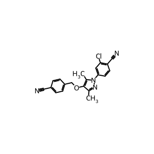 Cc1nn(-c2ccc(C#N)c(Cl)c2)c(C)c1OCc1ccc(C#N)cc1